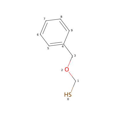 SCO[CH]c1ccccc1